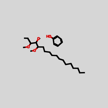 CCCCCCCCCCCCCC(OC)C([O])C(CC)OC.Oc1ccccc1